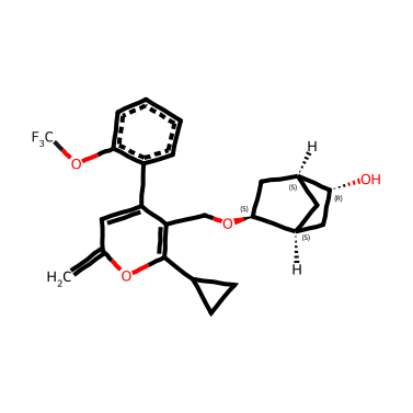 C=C1C=C(c2ccccc2OC(F)(F)F)C(CO[C@H]2C[C@@H]3C[C@H]2C[C@H]3O)=C(C2CC2)O1